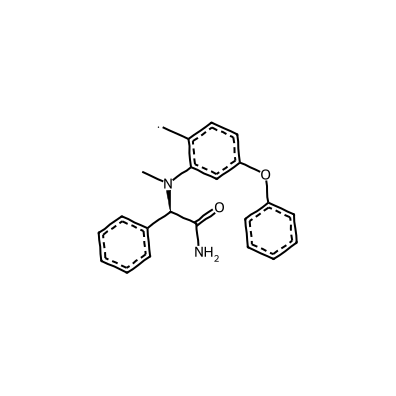 [CH2]c1ccc(Oc2ccccc2)cc1N(C)[C@@H](C(N)=O)c1ccccc1